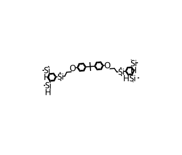 C[SiH](C)c1cc([SiH](C)C)cc([Si](C)(C)CCCOc2ccc(C(C)(C)c3ccc(OCCC[Si](C)(C)c4cc([SiH](C)C)cc([SiH](C)C)c4)cc3)cc2)c1